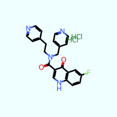 Cl.Cl.O=C(c1c[nH]c2ccc(F)cc2c1=O)N(CCc1ccncc1)Cc1ccncc1